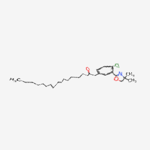 CCCCCCCCCCCCCCCCC(=O)Cc1ccc(Cl)c(C2=NC(C)(C)CO2)c1